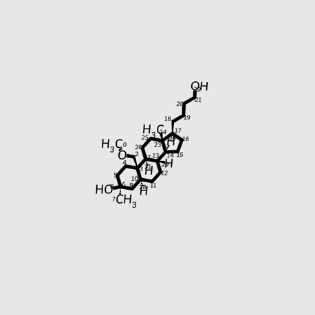 COC[C@]12CC[C@](C)(O)C[C@@H]1CC[C@H]1[C@@H]3CC[C@H](CCCCO)[C@@]3(C)CC[C@@H]12